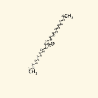 CCCCCCCCCCCC=CCC([C]=O)CCCCCCCCCCCCCC